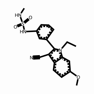 CCn1c(-c2cccc(NS(=O)(=O)NC)c2)c(C#N)c2ccc(OC)cc21